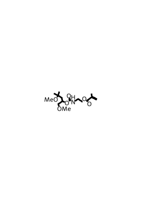 C=C(C)C(=O)OCCNC(=O)OC(COC)CC(C)(C)OC